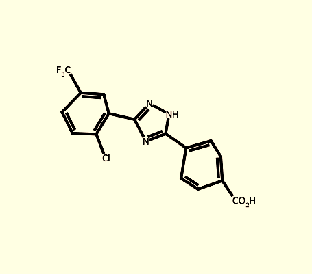 O=C(O)c1ccc(-c2nc(-c3cc(C(F)(F)F)ccc3Cl)n[nH]2)cc1